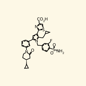 NS(=O)(=O)c1ccc(Cn2c(-c3cccc(N4CC[C@H](C5CC5)CC4=O)c3)cc(-c3nc(C(=O)O)cs3)c2CC2CC2)cc1F